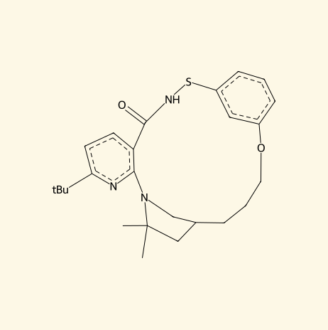 CC(C)(C)c1ccc2c(n1)N1CC(CCCOc3cccc(c3)SNC2=O)CC1(C)C